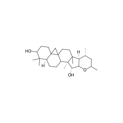 CC1C[C@@H](C)[C@H]2C(O1)[C@H](O)[C@@]1(C)C3CC[C@H]4C(C)(C)C(O)CCC45CC35CCC21C